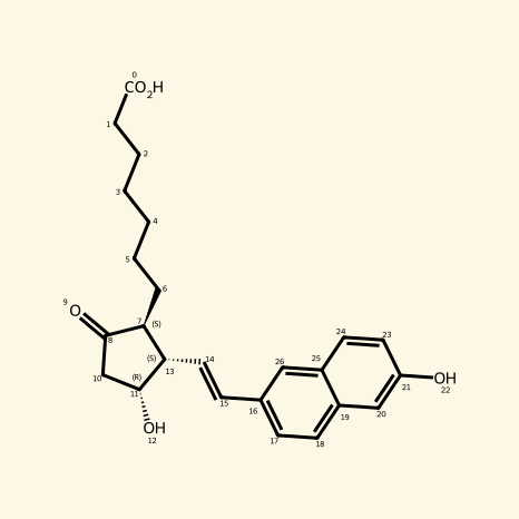 O=C(O)CCCCCC[C@@H]1C(=O)C[C@@H](O)[C@H]1C=Cc1ccc2cc(O)ccc2c1